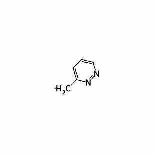 [CH2]c1cccnn1